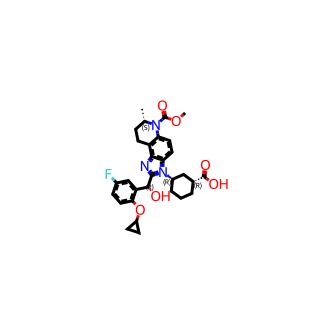 COC(=O)N1c2ccc3c(nc([C@H](O)c4cc(F)ccc4OC4CC4)n3[C@@H]3CCC[C@@H](C(=O)O)C3)c2CC[C@@H]1C